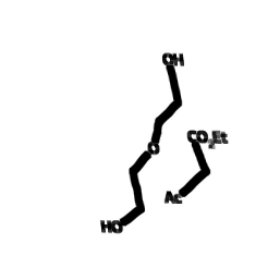 CCOC(=O)CC(C)=O.OCCOCCO